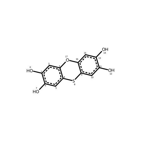 Oc1cc2c(cc1O)Sc1cc(O)c(O)cc1O2